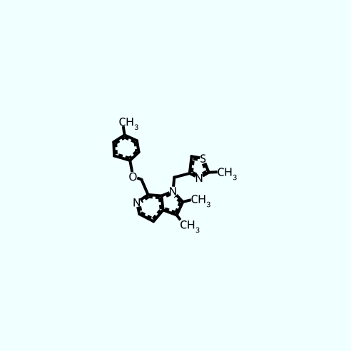 Cc1ccc(OCc2nccc3c(C)c(C)n(Cc4csc(C)n4)c23)cc1